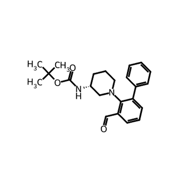 CC(C)(C)OC(=O)N[C@@H]1CCCN(c2c(C=O)cccc2-c2ccccc2)C1